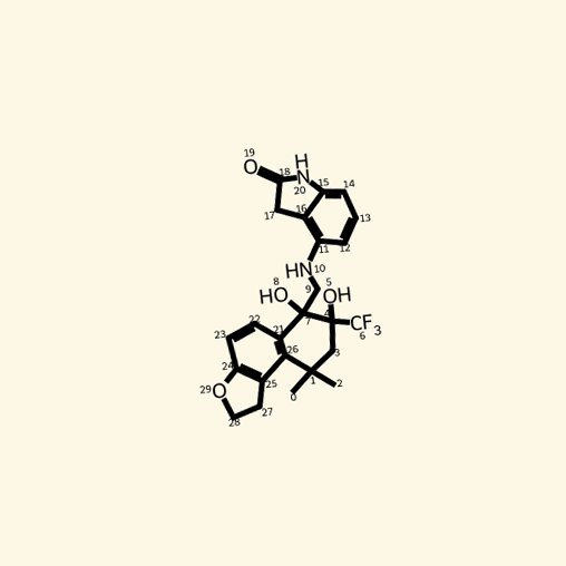 CC1(C)CC(O)(C(F)(F)F)C(O)(CNc2cccc3c2CC(=O)N3)c2ccc3c(c21)CCO3